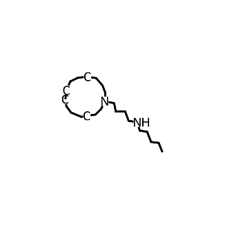 CCCCCNCCCCN1CCCCCCCCCCCCCC1